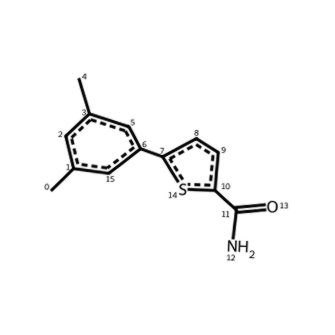 Cc1cc(C)cc(-c2ccc(C(N)=O)s2)c1